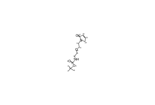 CC(C)(C)OC(=O)NCCOCCN1CC=CC1=O